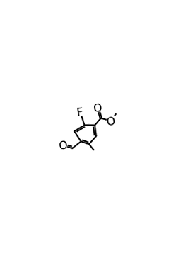 COC(=O)c1cc(C)c(C=O)cc1F